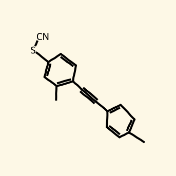 Cc1ccc(C#Cc2ccc(SC#N)cc2C)cc1